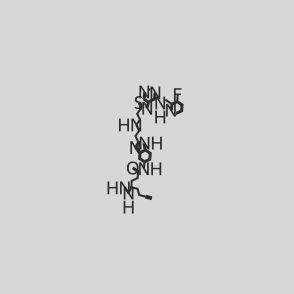 C#CCCC1(CCC(=O)Nc2ccc3[nH]c(CCNCCc4nc5c(NCc6ncccc6F)ncnc5s4)nc3c2)NN1